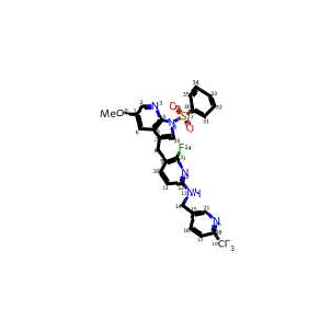 COc1cnc2c(c1)c(Cc1ccc(NCc3ccc(C(F)(F)F)nc3)nc1F)cn2S(=O)(=O)c1ccccc1